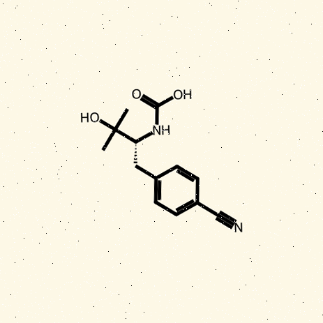 CC(C)(O)[C@@H](Cc1ccc(C#N)cc1)NC(=O)O